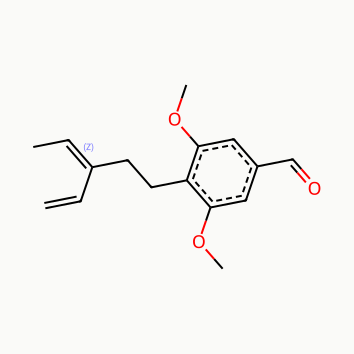 C=C/C(=C\C)CCc1c(OC)cc(C=O)cc1OC